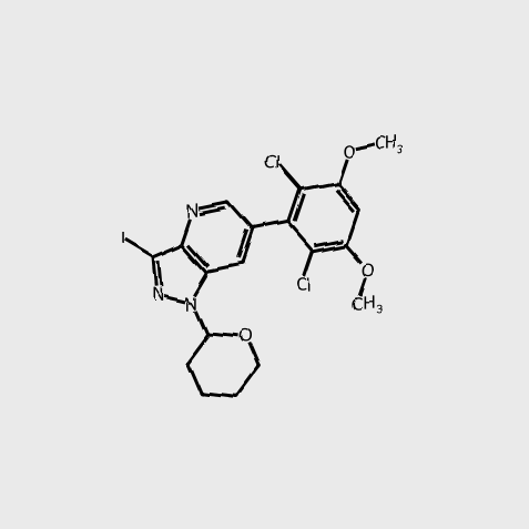 COc1cc(OC)c(Cl)c(-c2cnc3c(I)nn(C4CCCCO4)c3c2)c1Cl